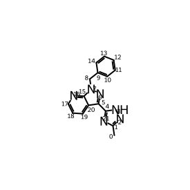 Cc1n[nH]c(-c2nn(Cc3ccccc3)c3ncccc23)n1